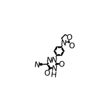 N#Cc1nn(-c2ccc(N3CCOC3=O)cc2)c(=O)[nH]c1=O